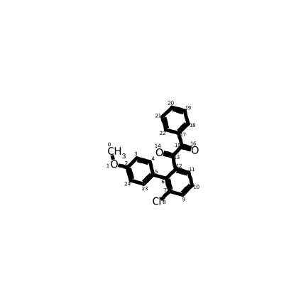 COc1ccc(-c2c(Cl)cccc2C(=O)C(=O)c2ccccc2)cc1